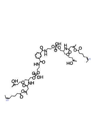 C/C=C\CCCC(=O)O[C@H](C)CC(=O)NC(COCC[C@@H](C)O)COP(=O)(O)OCCNC(=O)c1cccc(C(=O)NCCOP(=O)(O)OCC(COCC[C@@H](C)O)NC(=O)C[C@@H](C)OC(=O)CCC/C=C\C)c1